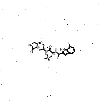 C[Si](C)(C)C[C@H](NC(=O)c1cc2cccc(F)c2[nH]1)C(=O)N[C@H](CO)C[C@@H]1CCNC1=O